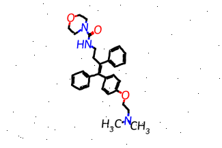 CN(C)CCOc1ccc(/C(=C(/CCNC(=O)N2CCOCC2)c2ccccc2)c2ccccc2)cc1